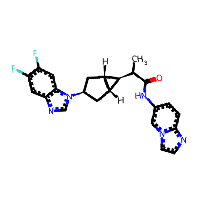 CC(C(=O)Nc1ccc2nccn2c1)[C@H]1[C@@H]2C[C@@H](n3cnc4cc(F)c(F)cc43)C[C@@H]21